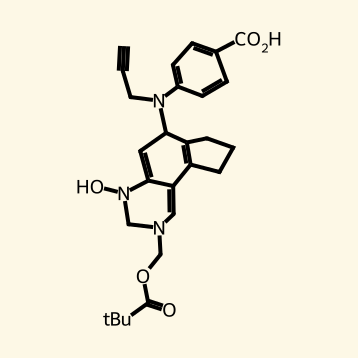 C#CCN(c1ccc(C(=O)O)cc1)C1C=C2C(=CN(COC(=O)C(C)(C)C)CN2O)C2=C1CCC2